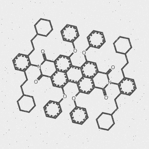 O=C1c2cc(Oc3ccccc3)c3c4c(Oc5ccccc5)cc5c6c(cc(Oc7ccccc7)c(c7c(Oc8ccccc8)cc(c2c37)C(=O)N1c1c(CCC2CCCCC2)cccc1CCC1CCCCC1)c64)C(=O)N(c1c(CCC2CCCCC2)cccc1CCC1CCCCC1)C5=O